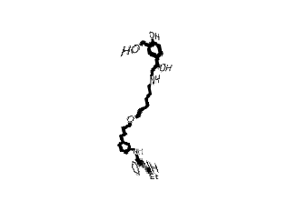 CCNC(=O)Nc1cccc(CCCCOCCCCCCNC[C@H](O)c2ccc(O)c(CO)c2)c1